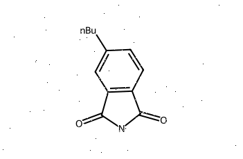 CCCCc1ccc2c(c1)C(=O)[N]C2=O